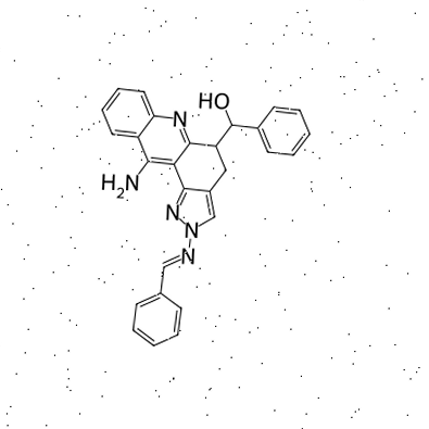 Nc1c2c(nc3ccccc13)C(C(O)c1ccccc1)Cc1cn(N=Cc3ccccc3)nc1-2